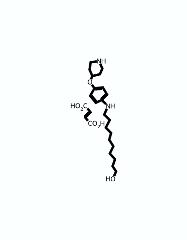 O=C(O)C=CC(=O)O.OCCCCCCCCCCNc1ccc(OC2CCNCC2)cc1